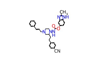 Cc1nc2cc(OC(=O)NN3CCN(CC=Cc4ccccc4)CC3CCc3ccc(C#N)cc3)ccc2[nH]1